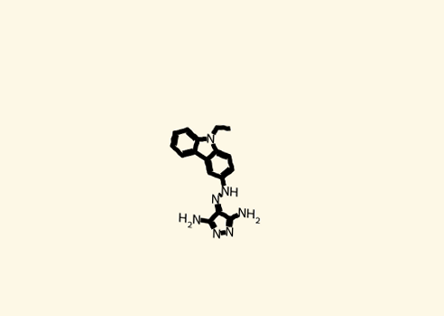 CCn1c2ccccc2c2cc(NN=C3C(N)=NN=C3N)ccc21